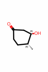 C[C@@H]1CCC(=O)C[C@H]1O